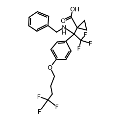 O=C(O)C1(C(NCc2ccccc2)(c2ccc(OCCCC(F)(F)F)cc2)C(F)(F)F)CC1